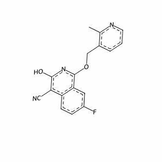 Cc1ncccc1COc1nc(O)c(C#N)c2ccc(F)cc12